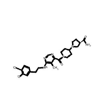 Cc1c(NCCc2ccc(Cl)c(Cl)c2)ncnc1C(=O)N1CCC(N2CC[C@@H](C(N)=O)C2)CC1